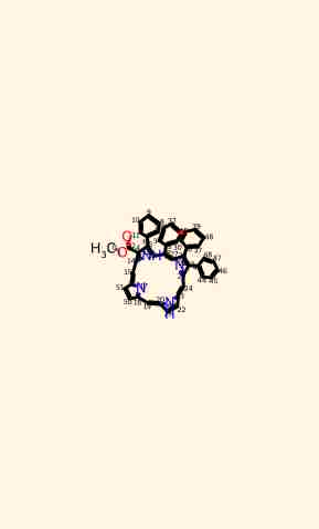 COC(=O)c1c(-c2ccccc2)c2[nH]c1cc1nc(cc3ccc(cc4nc(c2-c2ccccc2)C(c2ccccc2)=C4c2ccccc2)[nH]3)C=C1